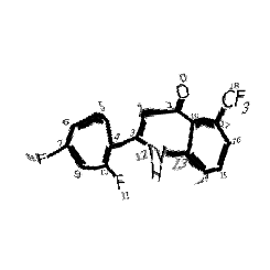 O=c1cc(-c2ccc(F)cc2F)[nH]c2cccc(C(F)(F)F)c12